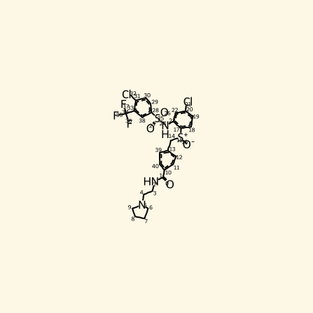 O=C(NCCN1CCCC1)c1ccc(C[S+]([O-])c2ccc(Cl)cc2NS(=O)(=O)c2ccc(Cl)c(C(F)(F)F)c2)cc1